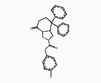 O=C1CCC(c2ccccc2)(c2ccccc2)C2CN(C(=O)Cc3ccc(F)cc3)CC12